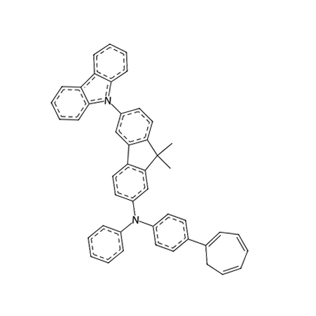 CC1(C)c2ccc(-n3c4ccccc4c4ccccc43)cc2-c2ccc(N(c3ccccc3)c3ccc(C4=CC=CC=CC4)cc3)cc21